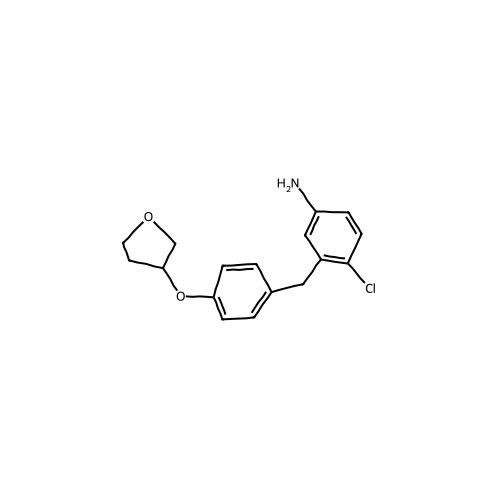 Nc1ccc(Cl)c(Cc2ccc(OC3CCOC3)cc2)c1